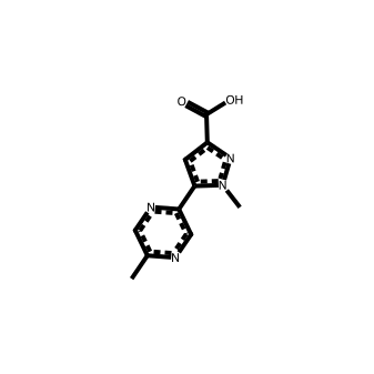 Cc1cnc(-c2cc(C(=O)O)nn2C)cn1